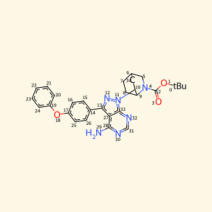 CC(C)(C)OC(=O)N1CC2CCC1C(n1nc(-c3ccc(Oc4ccccc4)cc3)c3c(N)ncnc31)C2